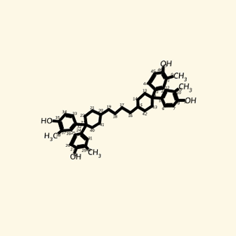 Cc1cc(C2(c3ccc(O)c(C)c3)CCC(CCCCC3CCC(c4ccc(O)c(C)c4)(c4ccc(O)c(C)c4)CC3)CC2)ccc1O